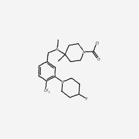 CN(Cc1ccc(C(F)(F)F)c(N2CCC(F)CC2)c1)C1(C)CCN(C(=O)Cl)CC1